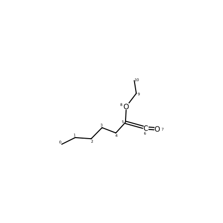 CCCCCC(=C=O)OCC